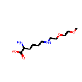 COCCOCCNCCCCC(N)C(=O)O